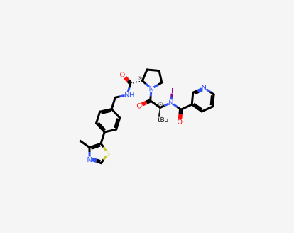 Cc1ncsc1-c1ccc(CNC(=O)[C@@H]2CCCN2C(=O)[C@@H](N(I)C(=O)c2cccnc2)C(C)(C)C)cc1